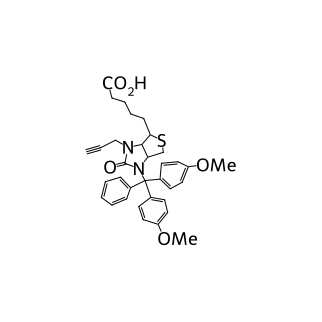 C#CCN1C(=O)N(C(c2ccccc2)(c2ccc(OC)cc2)c2ccc(OC)cc2)C2CSC(CCCCC(=O)O)C21